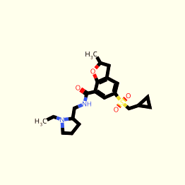 CCN1CCCC1CNC(=O)c1cc(S(=O)(=O)CC2CC2)cc2c1OC(C)C2